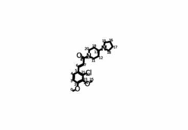 COc1ccc(C=CC(=O)N2CCC(N3CCCC3)CC2)c(Cl)c1OC